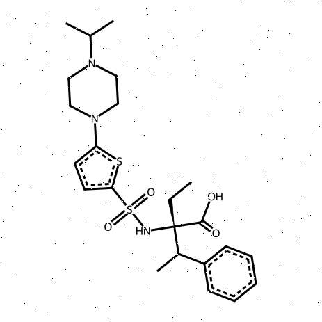 CC[C@@](NS(=O)(=O)c1ccc(N2CCN(C(C)C)CC2)s1)(C(=O)O)C(C)c1ccccc1